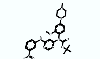 COc1cc(N2CCN(C)CC2)ccc1N(C(=O)OC(C)(C)C)c1cc(Nc2cccc([N+](=O)[O-])c2)ncn1